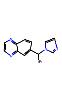 CC(C)C(c1ccc2nccnc2c1)n1ccnc1